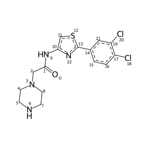 O=C(CN1CCNCC1)Nc1csc(-c2ccc(Cl)c(Cl)c2)n1